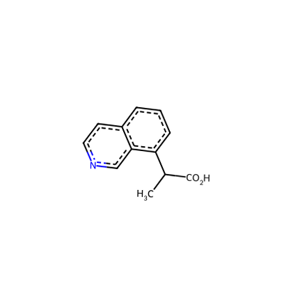 CC(C(=O)O)c1cccc2ccncc12